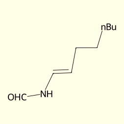 CCCCCCC=CNC=O